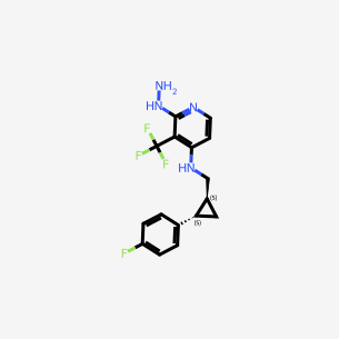 NNc1nccc(NC[C@H]2C[C@@H]2c2ccc(F)cc2)c1C(F)(F)F